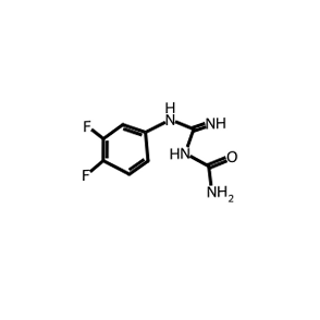 N=C(NC(N)=O)Nc1ccc(F)c(F)c1